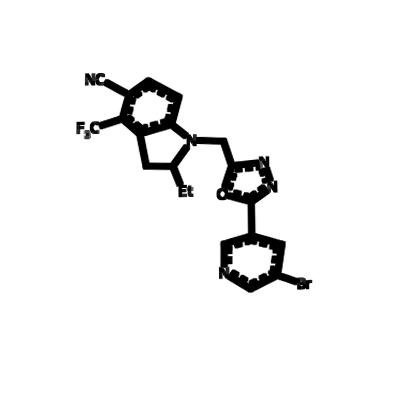 CCC1Cc2c(ccc(C#N)c2C(F)(F)F)N1Cc1nnc(-c2cncc(Br)c2)o1